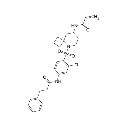 C=CC(=O)NC1CCN(S(=O)(=O)c2ccc(NC(=O)CCc3ccccc3)cc2Cl)C2(CCC2)C1